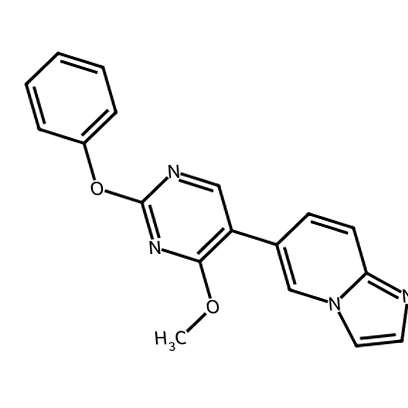 COc1nc(Oc2ccccc2)ncc1-c1ccc2nccn2c1